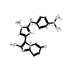 Br.Cc1nc2ccc(Cl)cn2c1-c1csc(Nc2ccc(N(C)C)cc2)n1